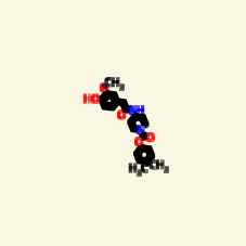 COc1cc(CC(=O)NC2CCN(C(=O)OC3CCC(C)(C)CC3)CC2)ccc1O